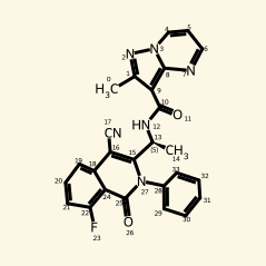 Cc1nn2cccnc2c1C(=O)N[C@@H](C)c1c(C#N)c2cccc(F)c2c(=O)n1-c1ccccc1